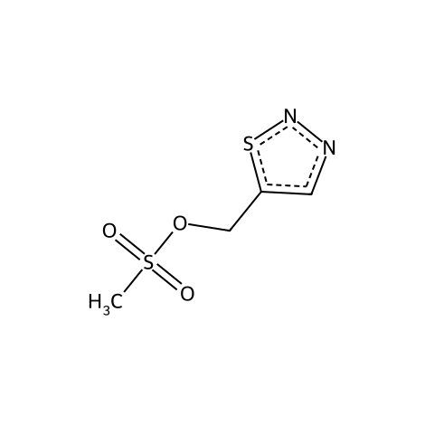 CS(=O)(=O)OCc1cnns1